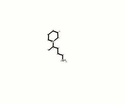 CC(CCCN)N1CCCCC1